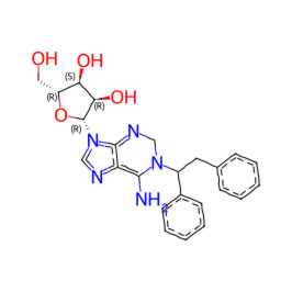 NC1=c2ncn([C@@H]3O[C@H](CO)[C@@H](O)[C@H]3O)c2=NCN1C(Cc1ccccc1)c1ccccc1